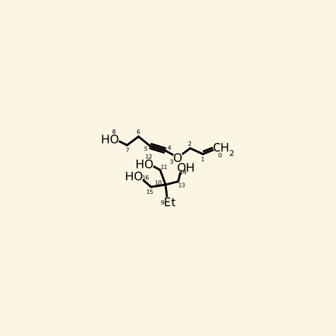 C=CCOC#CCCO.CCC(CO)(CO)CO